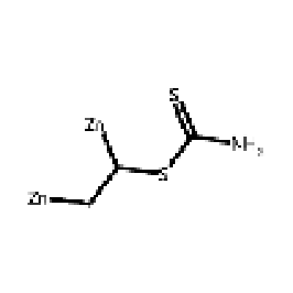 NC(=S)S[CH]([Zn])[CH2][Zn]